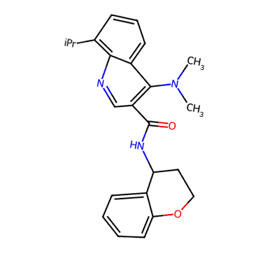 CC(C)c1cccc2c(N(C)C)c(C(=O)NC3CCOc4ccccc43)cnc12